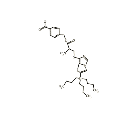 CCC[CH2][Sn]([CH2]CCC)([CH2]CCC)[c]1cn2cnc(SCC(N)C(=O)OCc3ccc([N+](=O)[O-])cc3)c2s1